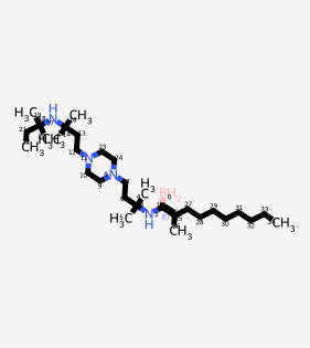 B/C(NC(C)(C)CCN1CCN(CCC(C)(C)NC(C)(C)CC)CC1)=C(/C)CCCCCCCC